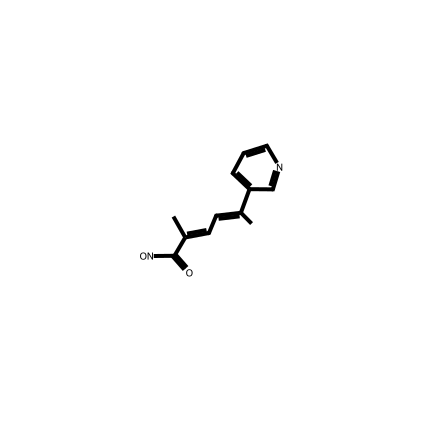 C/C(=C\C=C(/C)c1cccnc1)C(=O)N=O